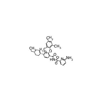 CCC1CC=C(c2ccc(C(=O)NS(=O)(=O)c3cccc(N)n3)c(Oc3c(C)cc(C)cc3C)n2)CC1